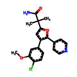 COc1cc(-c2cc(C(C)(C)C(N)=O)oc2-c2ccncc2)ccc1Cl